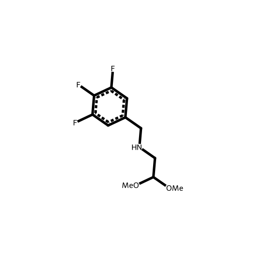 COC(CNCc1cc(F)c(F)c(F)c1)OC